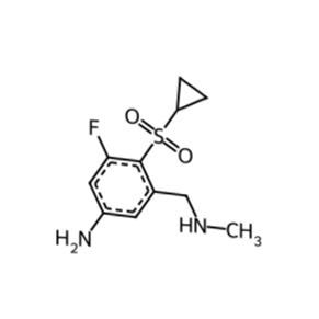 CNCc1cc(N)cc(F)c1S(=O)(=O)C1CC1